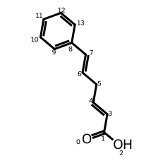 O=C(O)/C=C/CC=Cc1ccccc1